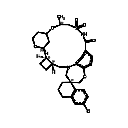 C[C@H]1CS(=O)(=O)NC(=O)c2ccc3c(c2)N(C[C@@H]2CC[C@H]2[C@H]2CC(CCO2)O1)C[C@@]1(CCCc2cc(Cl)ccc21)CO3